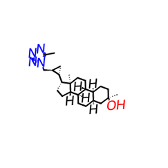 Cc1nnnn1C[C@H]1C[C@@H]1[C@H]1CC[C@H]2[C@@H]3CC[C@@H]4C[C@](C)(O)CC[C@@H]4[C@H]3CC[C@]12C